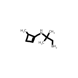 BCC(C)(C)NC1=CCC1C